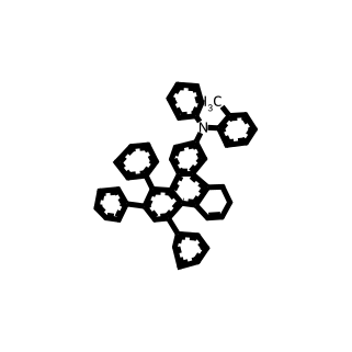 Cc1ccccc1N(c1ccccc1)c1ccc2c(c1)c1c(c3c(-c4ccccc4)cc(-c4ccccc4)c(-c4ccccc4)c32)C=CCC1